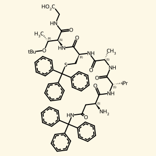 CC(C)[C@H](NC(=O)[C@@H](N)CC(=O)NC(c1ccccc1)(c1ccccc1)c1ccccc1)C(=O)N[C@@H](C)C(=O)N[C@@H](CSC(c1ccccc1)(c1ccccc1)c1ccccc1)C(=O)N[C@H](C(=O)NCC(=O)O)[C@@H](C)OC(C)(C)C